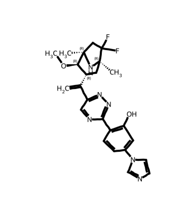 C=C(c1cnc(-c2ccc(-n3ccnc3)cc2O)nn1)[C@H]1C[C@@]2(C)N[C@](C)(CC2(F)F)[C@@H]1OC